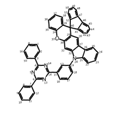 c1ccc(-c2nc(-c3ccccc3)nc(-c3cccc(-n4c5ccccc5c5cc6c(cc54)Oc4ccccc4C64c5ccccc5-c5ccccc54)c3)n2)cc1